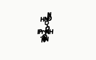 Cc1cc(-c2[nH]c3ccc(C4CCC(NC(=O)CN(C)C)CC4)cc3c2C(C)C)cn2ncnc12